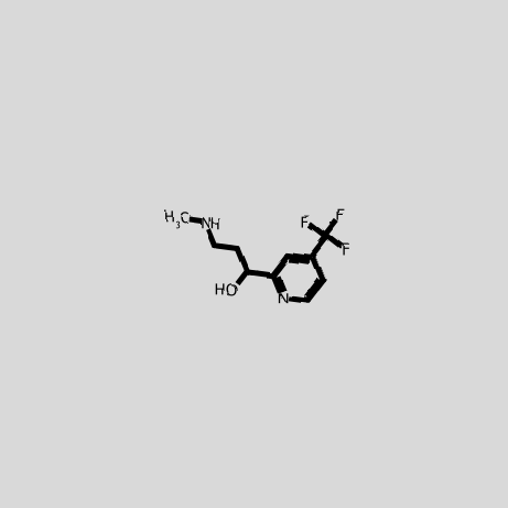 CNCCC(O)c1cc(C(F)(F)F)ccn1